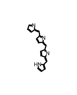 C1=CC(=CC2=NC(=CC3=NC(=Cc4ccc[nH]4)C=C3)C=C2)N=C1